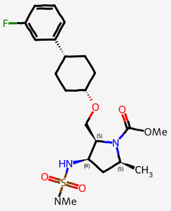 CNS(=O)(=O)N[C@@H]1C[C@H](C)N(C(=O)OC)[C@@H]1CO[C@H]1CC[C@@H](c2cccc(F)c2)CC1